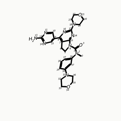 CN(C(=O)N1CCc2c(-c3cnc(N)nc3)nc(N3CCOCC3)nc21)c1cccc(N2CCOCC2)c1